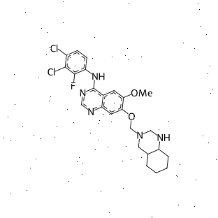 COc1cc2c(Nc3ccc(Cl)c(Cl)c3F)ncnc2cc1OCN1CNC2CCCCC2C1